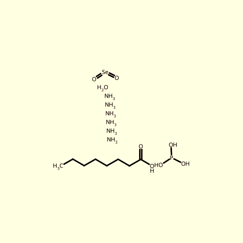 CCCCCCCC(=O)O.N.N.N.N.N.N.O.O=[Se]=O.OP(O)O